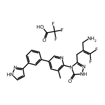 Cc1cc(-c2cccc(-c3cc[nH]n3)c2)cnc1-n1c(CC(CN)=C(F)F)n[nH]c1=O.O=C(O)C(F)(F)F